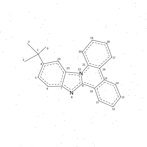 CC(C)(C)c1ccc2nc3c4ccccc4c4ccccc4n3c2c1